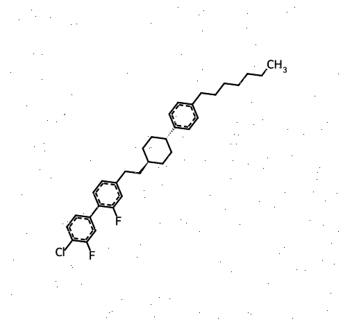 CCCCCCCc1ccc([C@H]2CC[C@H](CCc3ccc(-c4ccc(Cl)c(F)c4)c(F)c3)CC2)cc1